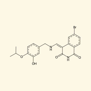 CC(C)Oc1ccc(CNC=C2C(=O)NC(=O)c3ccc(Br)cc32)cc1O